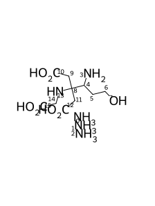 N.N.N.NC(CCO)C(CC(=O)O)(CC(=O)O)NCC(=O)O